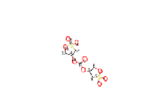 O=C(OC1COS(=O)(=O)C1)OC1COS(=O)(=O)C1